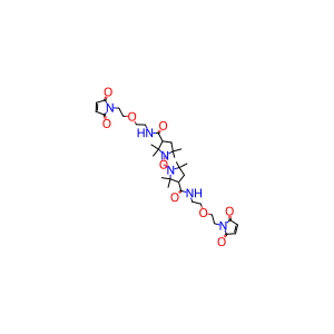 CC1(C)CC(C(=O)NCCOCCN2C(=O)C=CC2=O)C(C)(C)N1ON1C(C)(C)CC(C(=O)NCCOCCN2C(=O)C=CC2=O)C1(C)C